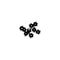 c1ccc(-c2ccc(N(c3ccc4c5c(-c6ccc7ccccc7c6)cccc5n(-c5ccccc5)c4c3)c3cccc4c3sc3ccccc34)cc2)cc1